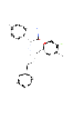 Cc1ccc(CC[C@@H](N[C@H](C(N)=O)c2ccc(C)cc2)c2ccc(F)c(C)c2)cc1